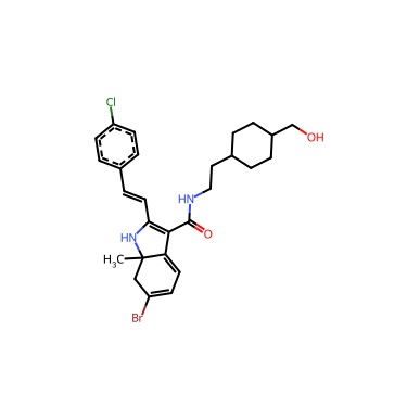 CC12CC(Br)=CC=C1C(C(=O)NCCC1CCC(CO)CC1)=C(/C=C/c1ccc(Cl)cc1)N2